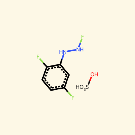 FNNc1cc(F)ccc1F.O=S(=O)(O)O